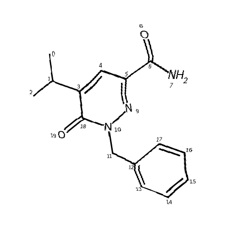 CC(C)c1cc(C(N)=O)nn(Cc2ccccc2)c1=O